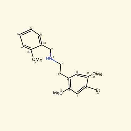 CCc1cc(OC)c(CCNCc2ccccc2OC)cc1OC